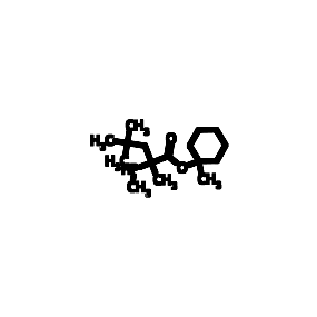 CPC(C)(CC(C)(C)C)C(=O)OC1(C)CCCCC1